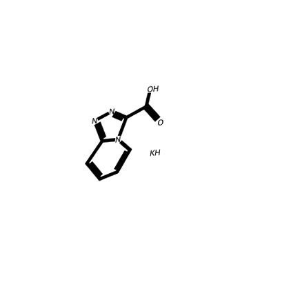 O=C(O)c1nnc2ccccn12.[KH]